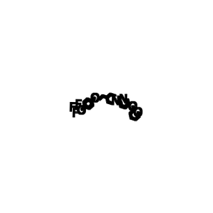 FC(F)(F)Oc1ccc(OCCC2CCN(c3ccc(OC4CCCCO4)cn3)CC2)cc1